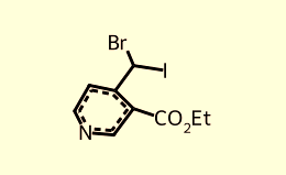 CCOC(=O)c1cnccc1C(Br)I